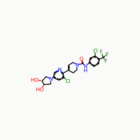 O=C(Nc1ccc(C(F)(F)F)c(Cl)c1)N1CC=C(c2ncc(N3C[C@@H](O)[C@@H](O)C3)cc2Cl)CC1